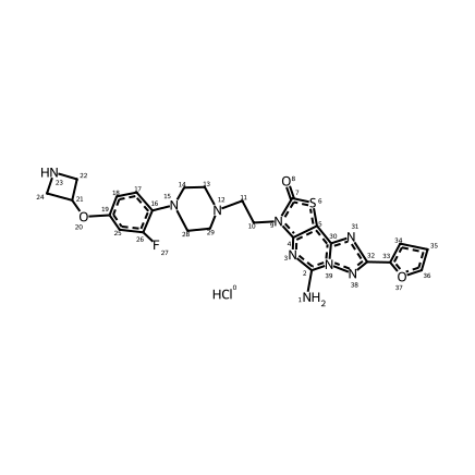 Cl.Nc1nc2c(sc(=O)n2CCN2CCN(c3ccc(OC4CNC4)cc3F)CC2)c2nc(-c3ccco3)nn12